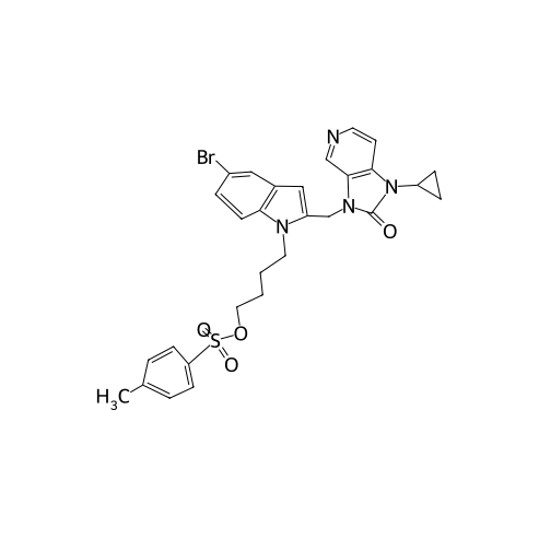 Cc1ccc(S(=O)(=O)OCCCCn2c(Cn3c(=O)n(C4CC4)c4ccncc43)cc3cc(Br)ccc32)cc1